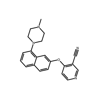 CN1CCN(c2cccc3ccc(Oc4ccncc4C#N)cc23)CC1